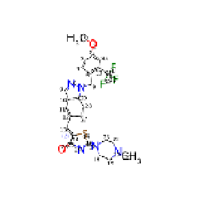 COc1ccc(Cn2ncc3cc(/C=C4\SC(N5CCN(C)CC5)=NC4=O)ccc32)c(C(F)(F)F)c1